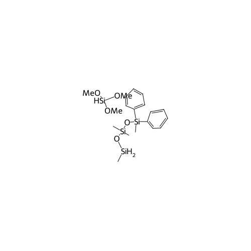 CO[SiH](OC)OC.C[SiH2]O[Si](C)(C)O[Si](C)(c1ccccc1)c1ccccc1